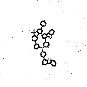 CC1(C)c2ccc(-c3cccc(N(c4ccc(-c5cccc6c5oc5ccccc56)cc4)c4cccc(-c5cccc6c5oc5ccccc56)c4)c3)cc2-c2ccc(-c3ccccc3)cc21